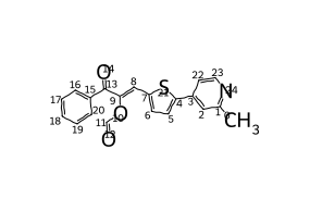 Cc1cc(-c2ccc(/C=C(\OC=O)C(=O)c3ccccc3)s2)ccn1